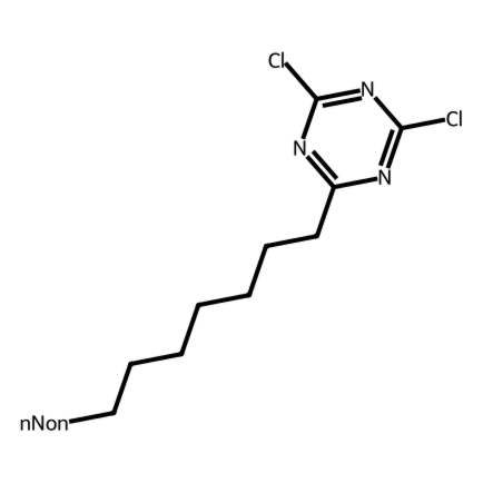 CCCCCCCCCCCCCCCCc1nc(Cl)nc(Cl)n1